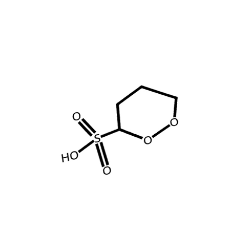 O=S(=O)(O)C1CCCOO1